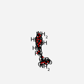 CC(C)[C@H](NC(=O)CCN1C(=O)C=CC1=O)C(=O)N[C@@H](CCCNC(N)=O)C(=O)Nc1ccc(COC(=O)N2C[C@@H](F)C[C@H]2COC(=O)Nc2ncnc3c2ncn3C2O[C@@H]3CO[P@@](=O)(S)O[C@H]4[C@@H](F)[C@H](n5cnc6c(N)ncnc65)O[C@@H]4CO[P@](=O)(S)O[C@H]3[C@H]2F)cc1